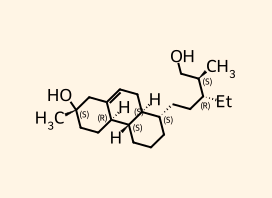 CC[C@H](CC[C@@H]1CCC[C@H]2[C@H]1CC=C1C[C@@](C)(O)CC[C@@H]12)[C@H](C)CO